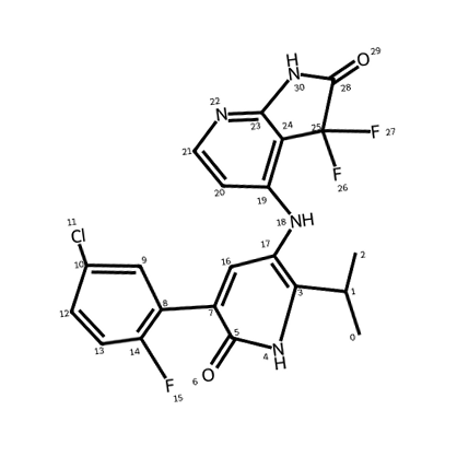 CC(C)c1[nH]c(=O)c(-c2cc(Cl)ccc2F)cc1Nc1ccnc2c1C(F)(F)C(=O)N2